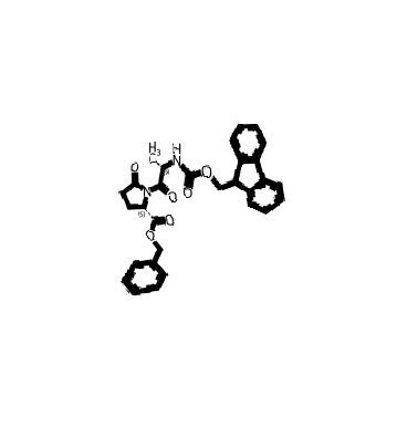 C[C@H](NC(=O)OCC1c2ccccc2-c2ccccc21)C(=O)N1C(=O)CC[C@H]1C(=O)OCc1ccccc1